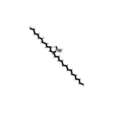 CCCCCCCCCCCCCCC(CCCCCCCCCCC)[NH+](C)[O-]